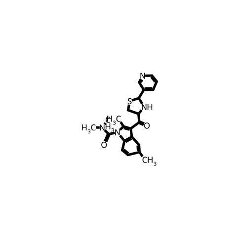 Cc1ccc2c(c1)c(C(=O)C1CSC(c3cccnc3)N1)c(C)n2C(=O)N(C)C